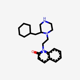 O=c1ccc2ccccc2n1CCN1CCNCC1CC1CCCCC1